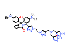 CCN(CC)c1ccc2c(c1)Oc1cc(N(CC)CC)ccc1C21c2ccccc2C(=O)N1Cc1cn(CCn2cc(CN(Cc3c[nH]nn3)Cc3c[nH]nn3)nn2)nn1